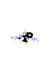 C[C@]1(c2cc(N)ccc2F)N=C(N)SC2[C@H]1C2(F)F